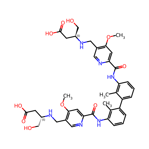 COc1cc(C(=O)Nc2cccc(-c3cccc(NC(=O)c4cc(OC)c(CN[C@H](CO)CC(=O)O)cn4)c3C)c2C)ncc1CN[C@H](CO)CC(=O)O